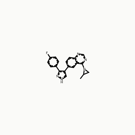 CC1CN1c1ncnc2ccc(-c3c[nH]nc3-c3ccc(F)cc3)cc12